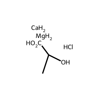 CC(O)C(=O)O.Cl.[CaH2].[MgH2]